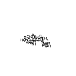 Cc1cc2c(cc1C(=O)O)NC(=O)/C2=C(\Nc1ccc(C(=O)N(C)OCCN2C[C@@H]3C[C@H]2CN3)cc1)c1ccccc1